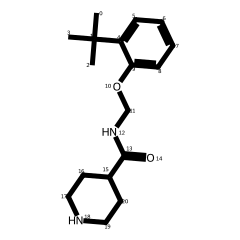 CC(C)(C)c1ccccc1OCNC(=O)C1CCNCC1